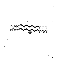 CCCCCCCCCCCCCCCCCC(=O)[O-].CCCCCCCCCCCCCCCCCC(=O)[O-].[Ni+2]